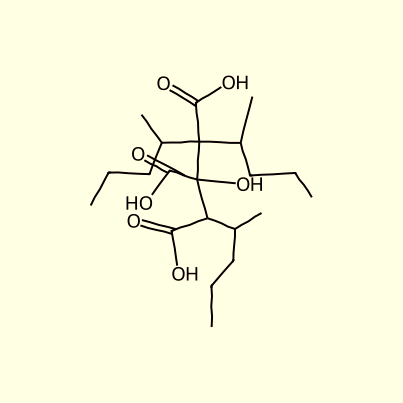 CCCC(C)C(C(=O)O)C(O)(C(=O)O)C(C(=O)O)(C(C)CCC)C(C)CCC